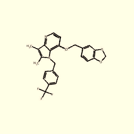 Cc1c(C)n(Cc2ccc(C(F)(F)F)cc2)c2c(OCc3ccc4c(c3)OCO4)ccnc12